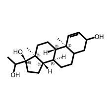 CC(O)[C@@]1(O)CC[C@H]2[C@@H]3CCC4CC(O)C=C[C@]4(C)[C@H]3CC[C@@]21C